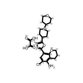 Nc1c(Cl)cc(-c2nnc(C3CCN(C4CCOCC4)CC3)o2)c2c1CCCO2.O=C(O)C(=O)O